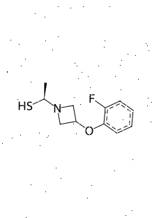 C[C@H](S)N1CC(Oc2ccccc2F)C1